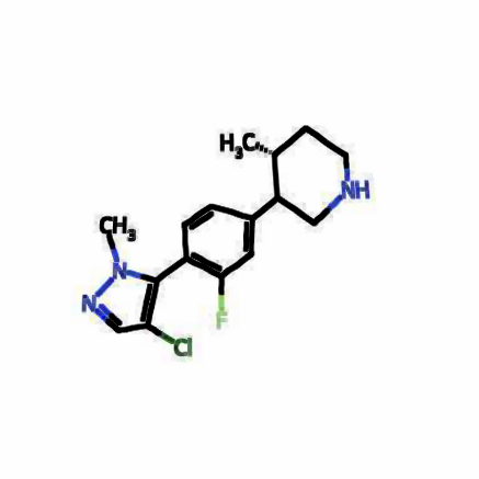 C[C@@H]1CCNCC1c1ccc(-c2c(Cl)cnn2C)c(F)c1